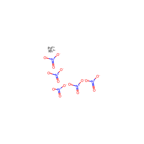 O=[N+]([O-])[O-].O=[N+]([O-])[O-].O=[N+]([O-])[O-].O=[N+]([O-])[O-].O=[N+]([O-])[O-].[Pd+2].[Rh+3]